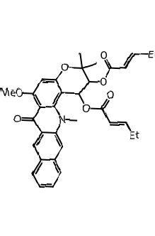 CC/C=C/C(=O)OC1c2c(cc(OC)c3c(=O)c4cc5ccccc5cc4n(C)c23)OC(C)(C)C1OC(=O)/C=C/CC